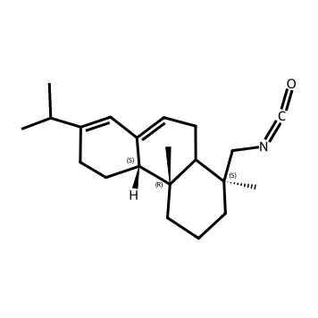 CC(C)C1=CC2=CCC3[C@@](C)(CN=C=O)CCC[C@]3(C)[C@@H]2CC1